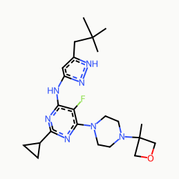 CC(C)(C)Cc1cc(Nc2nc(C3CC3)nc(N3CCN(C4(C)COC4)CC3)c2F)n[nH]1